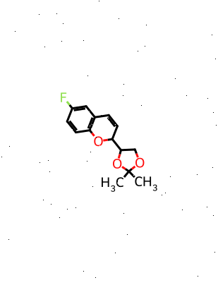 CC1(C)OCC(C2C=Cc3cc(F)ccc3O2)O1